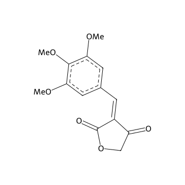 COc1cc(C=C2C(=O)COC2=O)cc(OC)c1OC